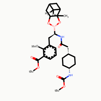 COc1c(C[C@H](NC(=O)C[C@H]2CC[C@@H](NC(=O)OC(C)(C)C)CC2)B2OC3CC4CC(C4(C)C)C3(C)O2)cccc1C(=O)OC(C)(C)C